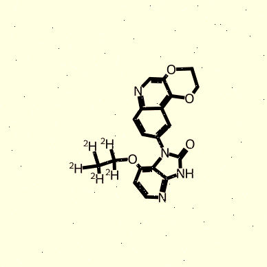 [2H]C([2H])([2H])C([2H])([2H])Oc1ccnc2[nH]c(=O)n(-c3ccc4ncc5c(c4c3)OCCO5)c12